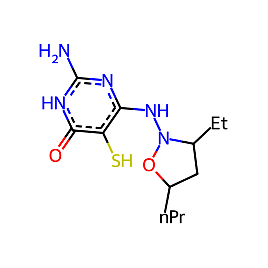 CCCC1CC(CC)N(Nc2nc(N)[nH]c(=O)c2S)O1